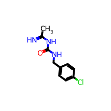 CC(=N)NC(=O)NCc1ccc(Cl)cc1